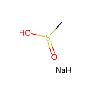 CS(=O)O.[NaH]